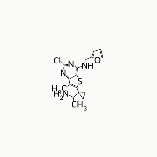 Cc1c(C2(C(C)N)CC2)sc2c(NCc3ccco3)nc(Cl)nc12